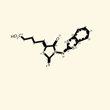 O=C(O)CCC/C=C1\SC(=S)N(N=c2sc3ccccc3s2)C1=O